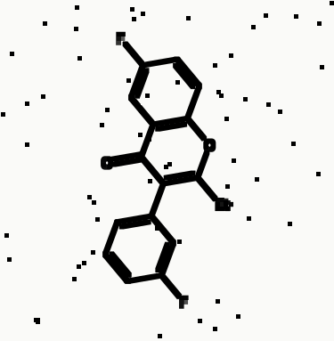 C[CH]c1oc2ccc(F)cc2c(=O)c1-c1cccc(F)c1